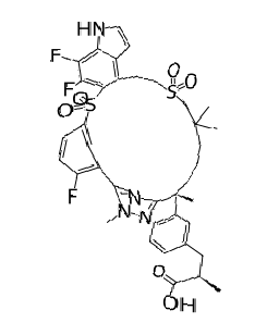 C[C@H](Cc1cccc([C@@]2(C)CCCC(C)(C)CS(=O)(=O)CCc3c(c(F)c(F)c4[nH]ccc34)S(=O)(=O)c3ccc(F)c(c3)-c3nc2nn3C)c1)C(=O)O